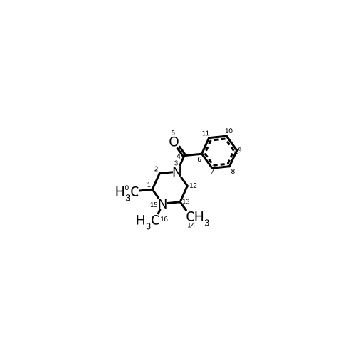 CC1CN(C(=O)c2cc[c]cc2)CC(C)N1C